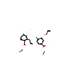 C=CCOc1cc(C(=O)OCC)ccc1Cl.C=CCc1c(C(=O)OCC)ccc(Cl)c1O